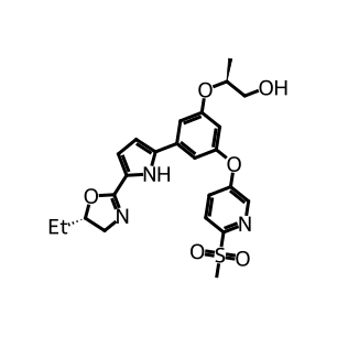 CC[C@H]1CN=C(c2ccc(-c3cc(Oc4ccc(S(C)(=O)=O)nc4)cc(O[C@@H](C)CO)c3)[nH]2)O1